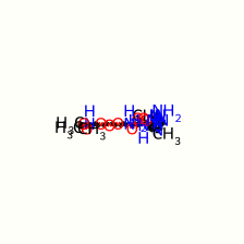 COC(=O)C(CCC(=O)NCCCOCCOCCOCCCNC(=O)OC(C)(C)C)NC(=O)c1ccc(N(C)Cc2cnc3nc(N)nc(N)c3n2)cc1